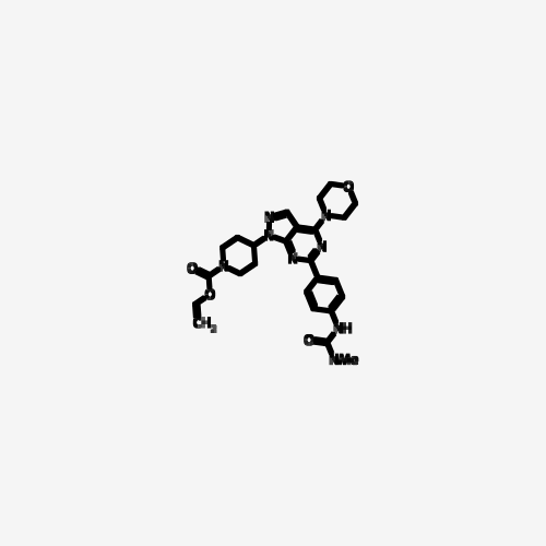 C=COC(=O)N1CCC(n2ncc3c(N4CCOCC4)nc(-c4ccc(NC(=O)NC)cc4)nc32)CC1